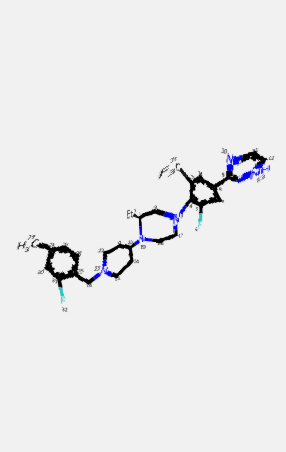 CC[C@H]1CN(c2c(F)cc(-c3ncc[nH]3)cc2C(F)(F)F)CCN1C1CCN(Cc2ccc(C)cc2F)CC1